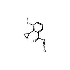 COc1cccc(C(=O)N=C=O)c1C1CC1